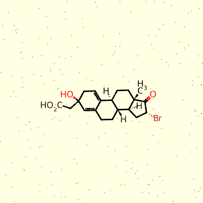 C[C@]12CC[C@@H]3C4=CCC(O)(CC(=O)O)C=C4CC[C@H]3[C@@H]1C[C@@H](Br)C2=O